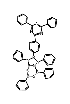 c1ccc(B2SB(c3ccccc3)N3B(S2)N(c2ccccc2)B(c2ccc(-c4nc(-c5ccccc5)nc(-c5ccccc5)n4)cc2)N3c2ccccc2)cc1